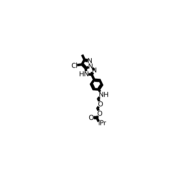 Cc1nn2nc(-c3ccc(NCOCOC(=O)C(C)C)cc3)[nH]c2c1Cl